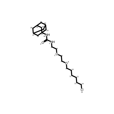 O=C(NCCOCCOCCCCCCCl)NC12CC3CC(CC(C3)C1)C2